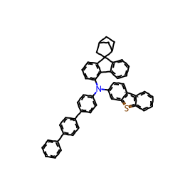 c1ccc(-c2ccc(-c3ccc(N(c4ccc5c(c4)sc4ccccc45)c4cccc5c4-c4ccccc4C54CC5CCC4C5)cc3)cc2)cc1